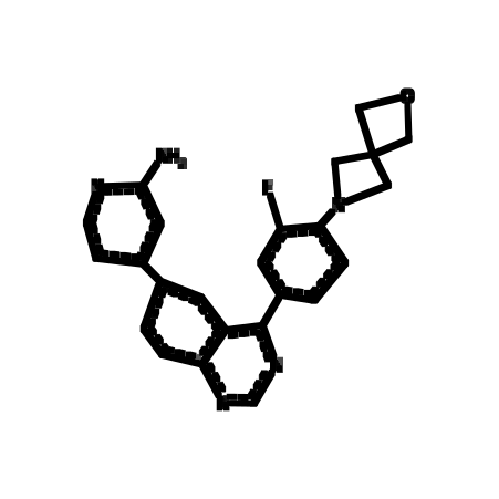 Nc1cc(-c2ccc3ncnc(-c4ccc(N5CC6(COC6)C5)c(F)c4)c3c2)ccn1